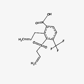 C=CCc1c(C(=O)O)ccc(C(F)(F)F)c1S(=O)(=O)CC=C